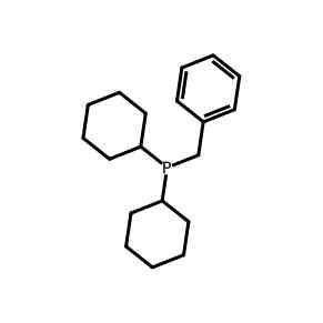 c1ccc(CP(C2CCCCC2)C2CCCCC2)cc1